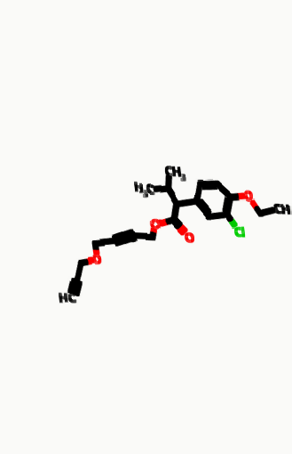 C#CCOCC#CCOC(=O)C(c1ccc(OCC)c(Cl)c1)C(C)C